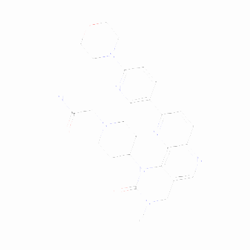 CN1Cc2cnc3ccc(-c4ccc(N5CCOCC5)nc4)nc3c2N(C2CCN(CC(N)=O)CC2)C1=O